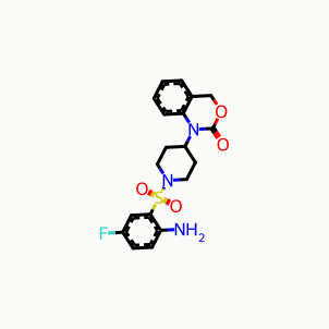 Nc1ccc(F)cc1S(=O)(=O)N1CCC(N2C(=O)OCc3ccccc32)CC1